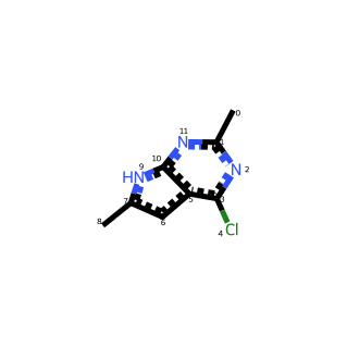 Cc1nc(Cl)c2cc(C)[nH]c2n1